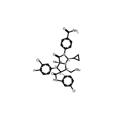 CC(C)(C)C[C@@H]1N2[C@H](C3CC3)N(c3ccc(C(N)=O)cc3)C(=O)[C@H]2[C@H](c2ccc(F)c(Cl)c2)[C@]12C(=O)Nc1cc(Cl)ccc12